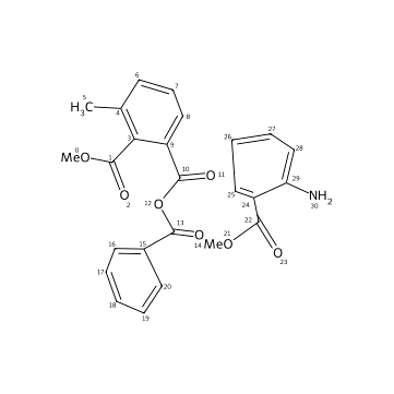 COC(=O)c1c(C)cccc1C(=O)OC(=O)c1ccccc1.COC(=O)c1ccccc1N